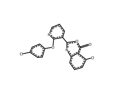 O=c1oc(-c2cccnc2Oc2ccc(Cl)cc2)nc2cccc(Cl)c12